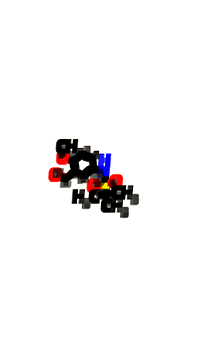 COc1ccc(NS(=O)(=O)C(C)(C)C)cc1C=O